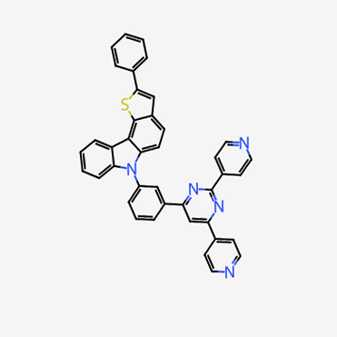 c1ccc(-c2cc3ccc4c(c5ccccc5n4-c4cccc(-c5cc(-c6ccncc6)nc(-c6ccncc6)n5)c4)c3s2)cc1